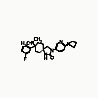 CN(C)[C@]1(c2cccc(F)c2)CC[C@]2(CC1)CN(c1ccc(N3CCC3)nc1)C(=O)N2